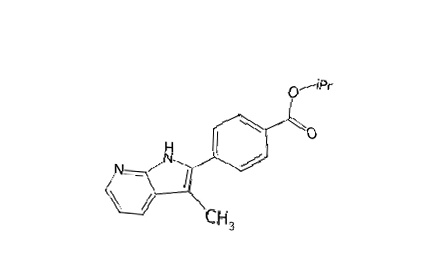 Cc1c(-c2ccc(C(=O)OC(C)C)cc2)[nH]c2ncccc12